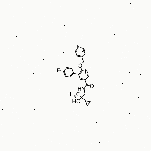 CC(O)(CNC(=O)c1cnc(OCc2ccncc2)c(-c2ccc(F)cc2)c1)C1CC1